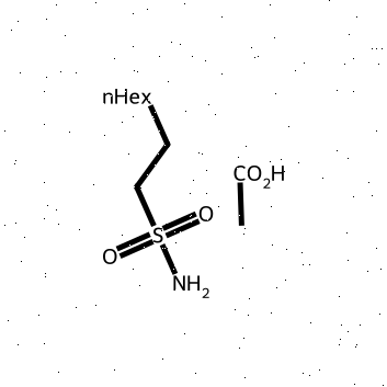 CC(=O)O.CCCCCCCCS(N)(=O)=O